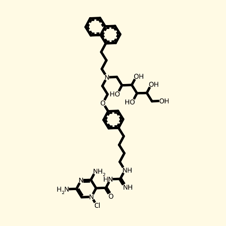 N=C(NCCCCc1ccc(OCCN(CCCc2cccc3ccccc23)CC(O)C(O)C(O)C(O)CO)cc1)NC(=O)C1C(N)=NC(N)=CN1Cl